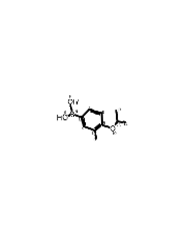 Cc1cc(B(O)O)ccc1OC(C)C